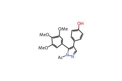 COc1cc(-c2c(-c3ccc(O)cc3)cnn2C(C)=O)cc(OC)c1OC